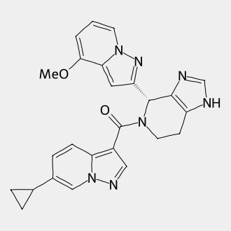 COc1cccn2nc([C@@H]3c4nc[nH]c4CCN3C(=O)c3cnn4cc(C5CC5)ccc34)cc12